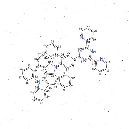 c1ccc(-c2cc(-c3nc(-c4ccccn4)nc(-c4ccccn4)n3)cc(-c3ccccc3)c2-n2c3ccccc3c3c2ccc2c4ccccc4n(-c4ccccc4)c23)cc1